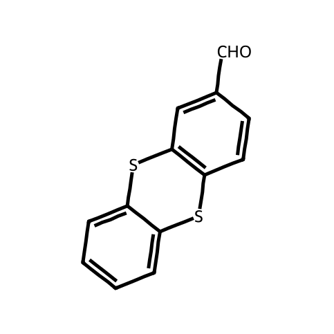 O=Cc1ccc2c(c1)Sc1ccccc1S2